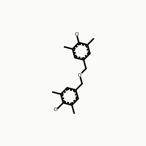 Cc1cc(COCc2cc(C)c(Cl)c(C)c2)cc(C)c1Cl